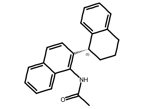 CC(=O)Nc1c([C@H]2CCCc3ccccc32)ccc2ccccc12